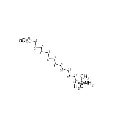 CCCCCCCCCCCCCCCCCCCCCCCCC(C)(C)N